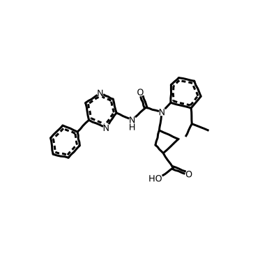 CC(C)c1ccccc1N(C(=O)Nc1cncc(-c2ccccc2)n1)C1CC(C(=O)O)C1